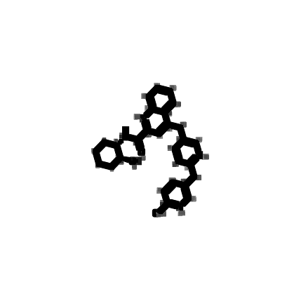 O=C(N[C@H]1CCCC[C@@H]1O)c1cc(Cc2ccc(Cc3ccc(Cl)nc3)nc2)c2ccccc2n1